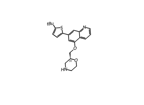 CC(C)(C)c1ccc(-c2cc(OC[C@@H]3CNCCO3)c3cccnc3c2)s1